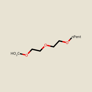 CCCCCOCCOCCOC(=O)O